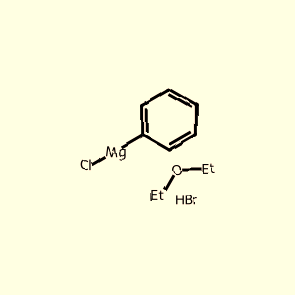 Br.CCOCC.[Cl][Mg][c]1ccccc1